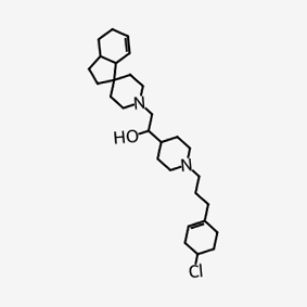 OC(CN1CCC2(CCC3CCC=CC32)CC1)C1CCN(CCCC2=CCC(Cl)CC2)CC1